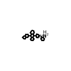 Nc1ccccc1Nc1ccc(-c2c3c(c(-c4ccc5ccccc5c4)c4ccccc24)C=CCC=C3)cc1